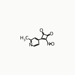 Cc1cc(-c2c(N=O)c(=O)c2=O)ccn1